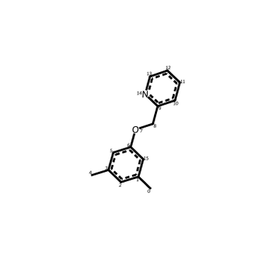 Cc1[c]c(C)cc(OCc2ccccn2)c1